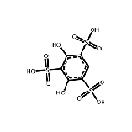 O=S(=O)(O)c1cc(S(=O)(=O)O)c(O)c(S(=O)(=O)O)c1O